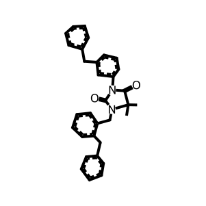 CC1(C)C(=O)N(c2cccc(Cc3ccccc3)c2)C(=O)N1Cc1ccccc1Cc1ccccc1